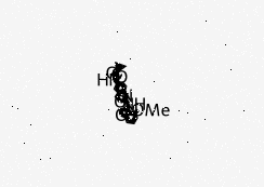 COc1cccc2c1C(NC1=Nc3ccc(NS(=O)(=O)C4CC4)cc3CO1)CO2